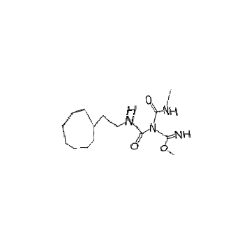 CNC(=O)N(C(=N)OC)C(=O)NCCC1CCCCCCC1